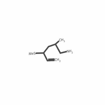 C=CC(CC(C)CN)SC